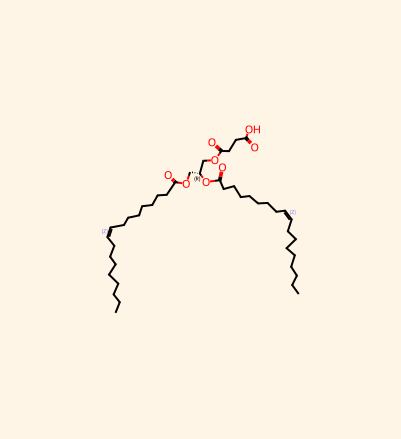 CCCCCCCC/C=C\CCCCCCCC(=O)OC[C@H](COC(=O)CCC(=O)O)OC(=O)CCCCCCC/C=C\CCCCCCCC